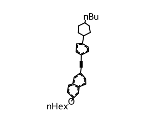 CCCCCCOc1ccc2cc(C#Cc3ccc(C4CCC(CCCC)CC4)cc3)ccc2c1